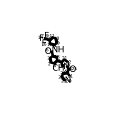 Cc1ccc(C(=O)Nc2cccc(C(F)(F)F)c2)cc1C1CCN(C(=O)c2cccnc2)C1